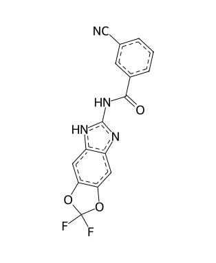 N#Cc1cccc(C(=O)Nc2nc3cc4c(cc3[nH]2)OC(F)(F)O4)c1